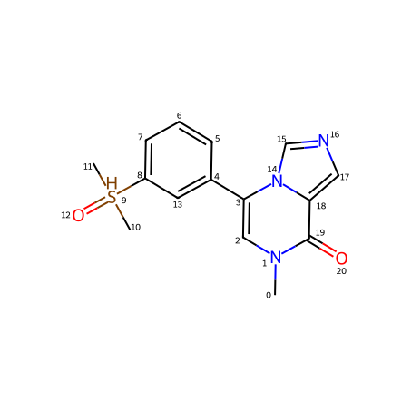 Cn1cc(-c2cccc([SH](C)(C)=O)c2)n2cncc2c1=O